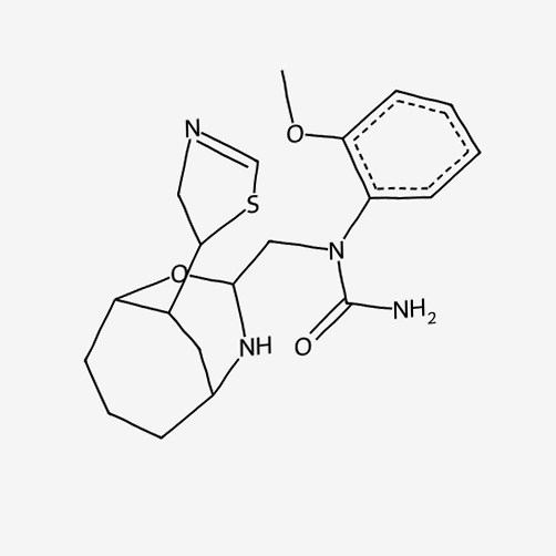 COc1ccccc1N(CC1NC2CCCC(O1)C(C1CN=CS1)C2)C(N)=O